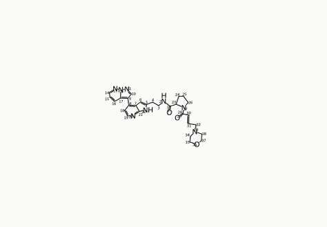 O=C(NCCc1cc2c(-c3cnn4ncccc34)ccnc2[nH]1)C1CCCN1C(=O)C=CCN1CCOCC1